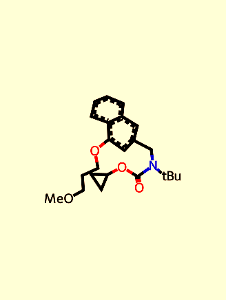 COCCCOc1cc(CN(C(=O)OC2CC2)C(C)(C)C)cc2ccccc12